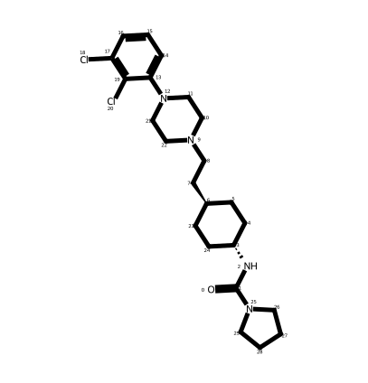 O=C(N[C@H]1CC[C@H](CCN2CCN(c3cccc(Cl)c3Cl)CC2)CC1)N1CCCC1